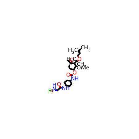 COC1C(OC(=O)NC2CCC(NC(=O)CNSF)CC2)CC[C@]2(CO2)C1C(C)(C)OCC=C(C)C